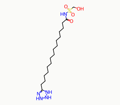 O=C(CCCCCCCCCCCCCCCC1=NNNN1)NS(=O)(=O)CO